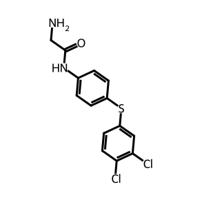 NCC(=O)Nc1ccc(Sc2ccc(Cl)c(Cl)c2)cc1